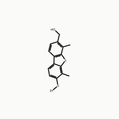 CCOc1ccc2c(sc3c(C)c(CO)ccc32)c1C